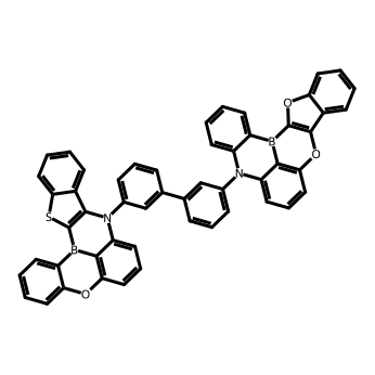 c1cc(-c2cccc(N3c4cccc5c4B(c4ccccc4O5)c4sc5ccccc5c43)c2)cc(N2c3ccccc3B3c4oc5ccccc5c4Oc4cccc2c43)c1